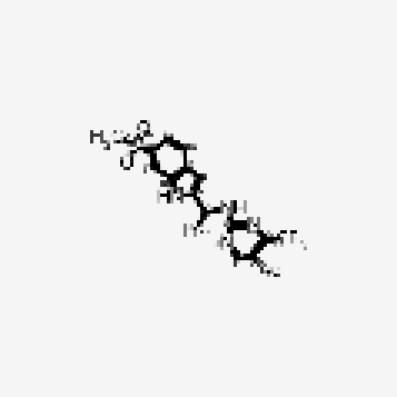 CC(=O)c1cnc(NC(c2cc3ccc(S(C)(=O)=O)cc3[nH]2)C(C)C)nc1C(F)(F)F